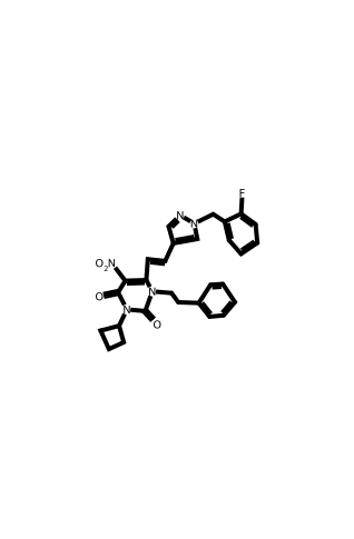 O=c1c([N+](=O)[O-])c(/C=C/c2cnn(Cc3ccccc3F)c2)n(CCc2ccccc2)c(=O)n1C1CCC1